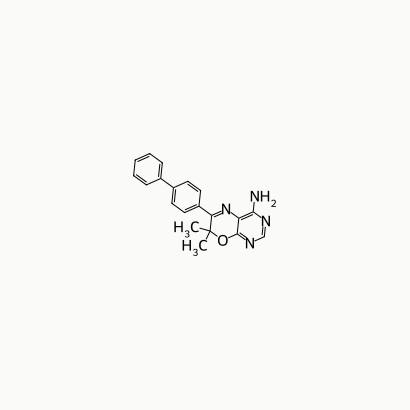 CC1(C)Oc2ncnc(N)c2N=C1c1ccc(-c2ccccc2)cc1